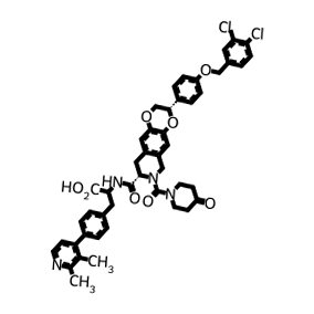 Cc1nccc(-c2ccc(CC(NC(=O)[C@@H]3Cc4cc5c(cc4CN3C(=O)N3CCC(=O)CC3)O[C@@H](c3ccc(OCc4ccc(Cl)c(Cl)c4)cc3)CO5)C(=O)O)cc2)c1C